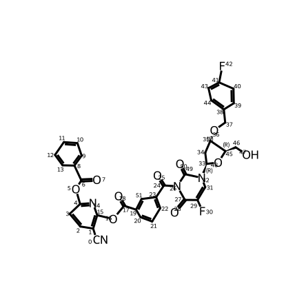 N#Cc1ccc(OC(=O)c2ccccc2)nc1OC(=O)c1cccc(C(=O)n2c(=O)c(F)cn([C@H]3C[C@H](OCc4ccc(F)cc4)[C@@H](CO)O3)c2=O)c1